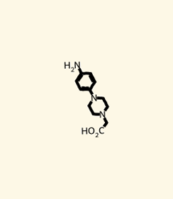 Nc1ccc(N2CCN(CC(=O)O)CC2)cc1